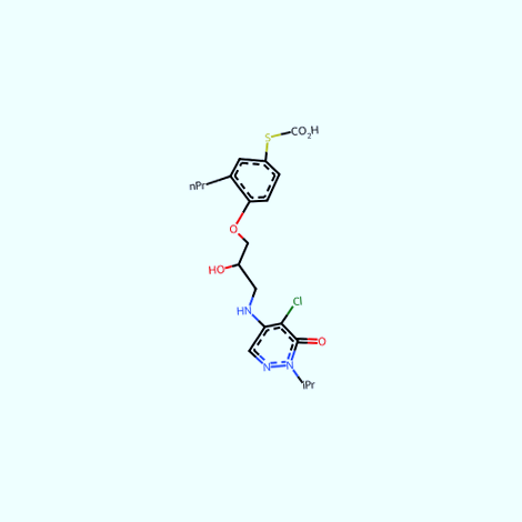 CCCc1cc(SC(=O)O)ccc1OCC(O)CNc1cnn(C(C)C)c(=O)c1Cl